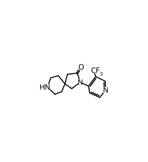 O=C1CC2(CCNCC2)CN1c1ccncc1C(F)(F)F